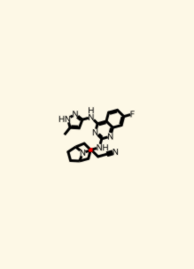 Cc1cc(Nc2nc(NC3CC4CCC(C3)N4CCC#N)nc3cc(F)ccc23)n[nH]1